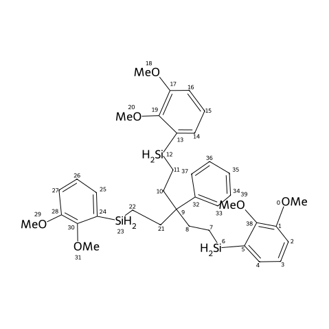 COc1cccc([SiH2]CCC(CC[SiH2]c2cccc(OC)c2OC)(CC[SiH2]c2cccc(OC)c2OC)c2ccccc2)c1OC